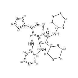 O=C(NC1CCCCC1)C(C1CCCCC1)C1(c2cccc(-c3cccs3)c2)Nc2ccccc2N1